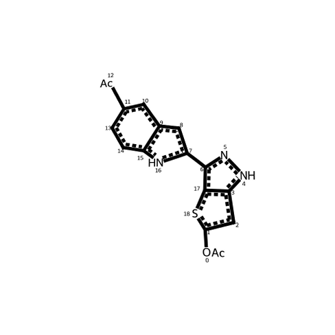 CC(=O)Oc1cc2[nH]nc(-c3cc4cc(C(C)=O)ccc4[nH]3)c2s1